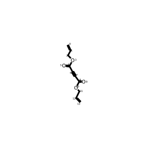 C=CCOC(=O)C#CC(=O)OCC=C